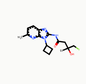 CCC(O)(CF)CC(=O)Nc1nc2ccc(C)nc2n1C1CCC1